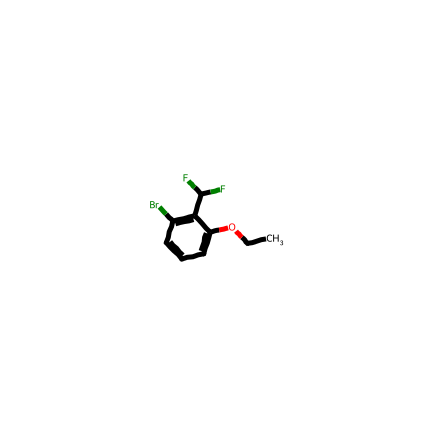 CCOc1cccc(Br)c1C(F)F